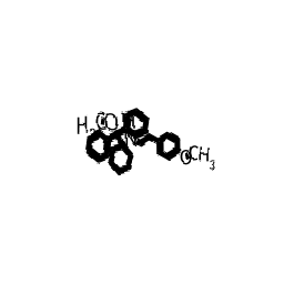 COc1ccc(CCNC2(C(OC)(c3ccccc3)c3ccccc3)CCCCC2)cc1